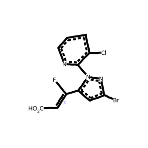 O=C(O)/C=C(\F)c1cc(Br)nn1-c1ncccc1Cl